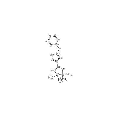 CC1(C)OB(c2cnn(Cc3ccncc3)c2)OC1(C)C